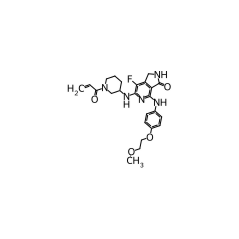 C=CC(=O)N1CCCC(Nc2nc(Nc3ccc(OCCOC)cc3)c3c(c2F)CNC3=O)C1